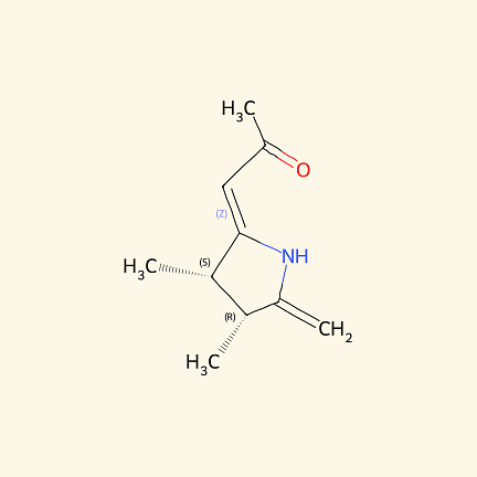 C=C1N/C(=C\C(C)=O)[C@@H](C)[C@H]1C